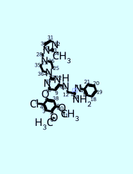 COc1cc(Cl)c(Oc2cc(NC/C(N)=N/c3ccccc3)nc(N3CCN(Cn4ccnc4C)CC3)n2)cc1OC